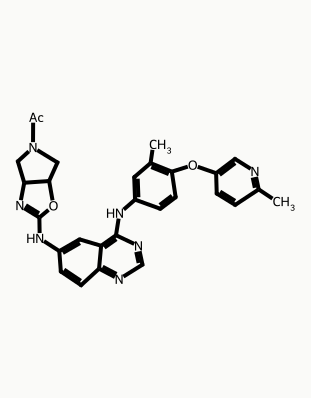 CC(=O)N1CC2N=C(Nc3ccc4ncnc(Nc5ccc(Oc6ccc(C)nc6)c(C)c5)c4c3)OC2C1